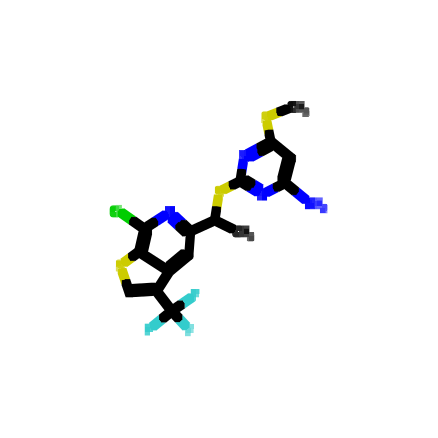 CSc1cc(N)nc(SC(C)c2cc3c(C(F)(F)F)csc3c(Cl)n2)n1